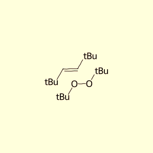 CC(C)(C)C=CC(C)(C)C.CC(C)(C)OOC(C)(C)C